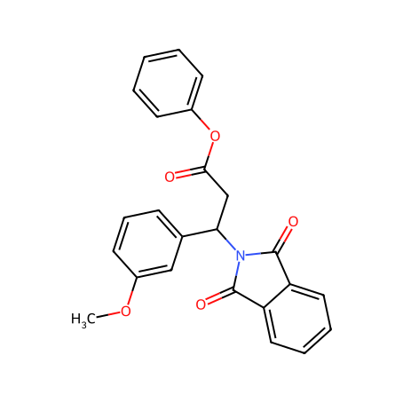 COc1cccc(C(CC(=O)Oc2ccccc2)N2C(=O)c3ccccc3C2=O)c1